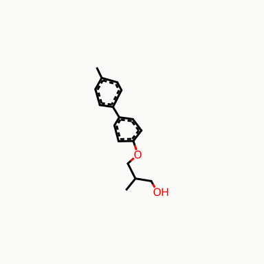 Cc1ccc(-c2ccc(OCC(C)CO)cc2)cc1